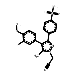 COc1ccc(-c2c(-c3ccc(S(N)(=O)=O)cc3)nn(CC#N)c2C)cc1F